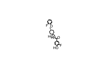 O=C(NC[C@]1(O)CC[C@H](COc2ccccc2F)CC1)c1ccc(O)c(F)c1